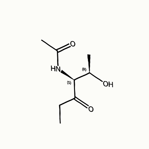 CCC(=O)[C@@H](NC(C)=O)[C@@H](C)O